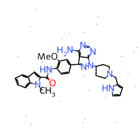 COc1cc(-c2nn(C3CCN(Cc4ccc[nH]4)CC3)c3ncnc(N)c23)ccc1NC(=O)c1cc2ccccc2n1C